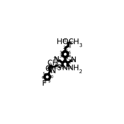 Cc1oc(-c2ccc(F)cc2)nc1CSc1nc(N)c(C#N)c(-c2ccc(CC[C@H](C)O)cc2)c1C#N